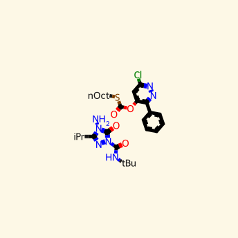 CC(C)c1nn(C(=O)NC(C)(C)C)c(=O)n1N.CCCCCCCCSC(=O)Oc1cc(Cl)nnc1-c1ccccc1